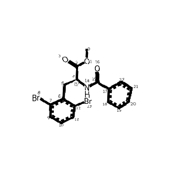 COC(=O)[C@H](Cc1c(Br)cccc1Br)NC(=O)c1ccccc1